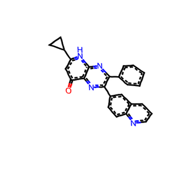 O=c1cc(C2CC2)[nH]c2nc(-c3ccccc3)c(-c3ccc4ncccc4c3)nc12